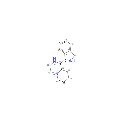 c1ccc2c(c1)CN[C]2C1NCCN2CCCCC12